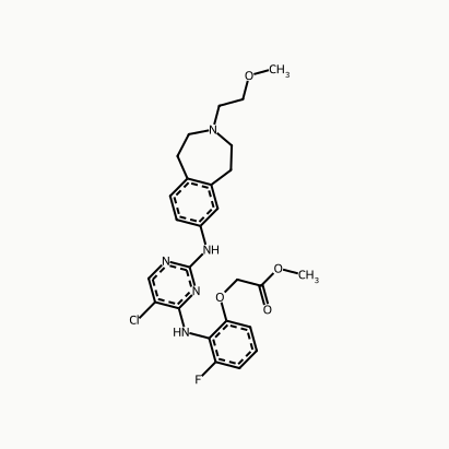 COCCN1CCc2ccc(Nc3ncc(Cl)c(Nc4c(F)cccc4OCC(=O)OC)n3)cc2CC1